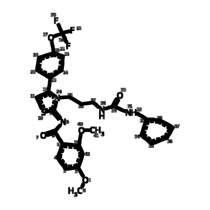 COc1ccc(C(=O)/N=c2\scc(-c3ccc(OC(F)(F)F)cc3)n2CCCNC(=O)NCc2ccccc2)c(OC)c1